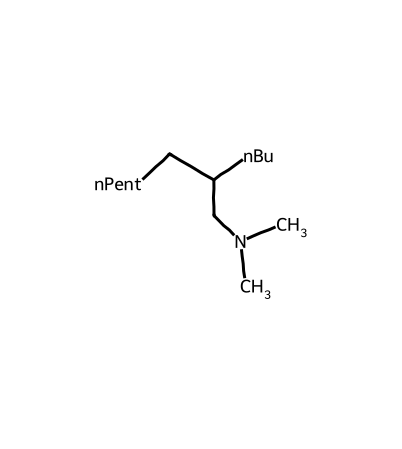 CCCCCCC(CCCC)CN(C)C